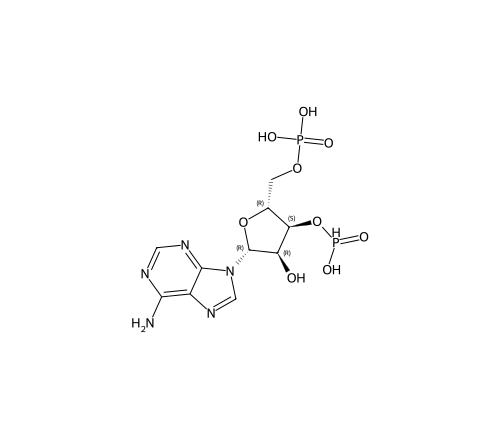 Nc1ncnc2c1ncn2[C@@H]1O[C@H](COP(=O)(O)O)[C@@H](O[PH](=O)O)[C@H]1O